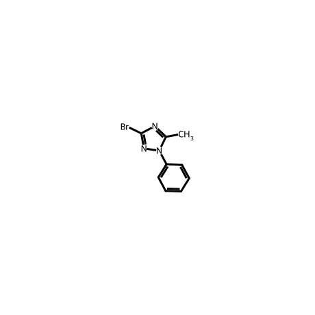 Cc1nc(Br)nn1-c1ccccc1